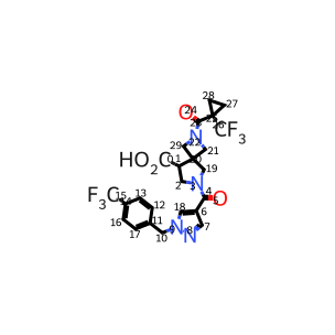 O=C(O)C1CN(C(=O)c2cnn(Cc3ccc(C(F)(F)F)cc3)c2)CC12CN(C(=O)C1(C(F)(F)F)CC1)C2